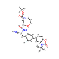 [2H]C([2H])([2H])n1c(=O)oc2ccc(-c3ccc(C[C@@H](C#N)NC(=O)[C@@H]4CN(C(=O)OC(C)(C)C)CCCO4)c(F)c3)cc21